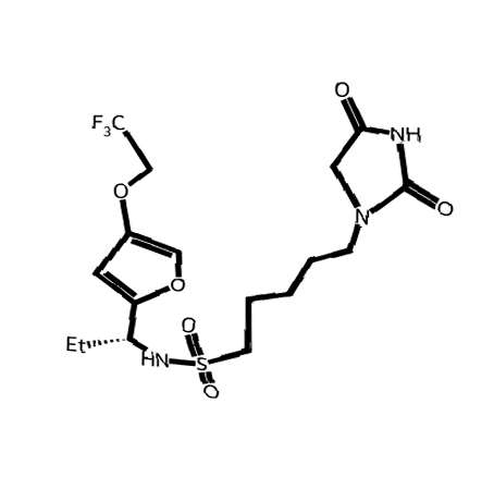 CC[C@@H](NS(=O)(=O)CCCCCN1CC(=O)NC1=O)c1cc(OCC(F)(F)F)co1